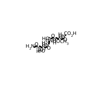 C[C@H](NC(=O)CNC(=O)[C@H](CO)NC(=O)CNC(=O)[C@H](CO)NC(=O)CNC(=O)CN)C(=O)NCC(=O)O